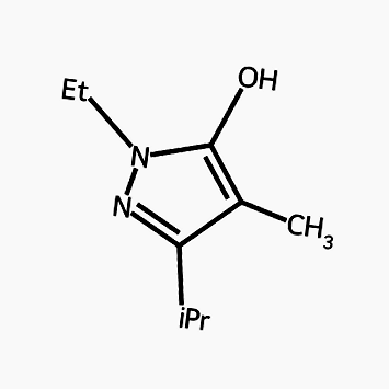 CCn1nc(C(C)C)c(C)c1O